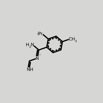 Cc1ccc(/C(N)=N/C=N)c(C(C)C)c1